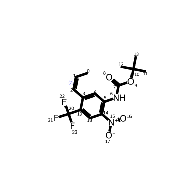 C/C=C\c1cc(NC(=O)OC(C)(C)C)c([N+](=O)[O-])cc1C(F)(F)F